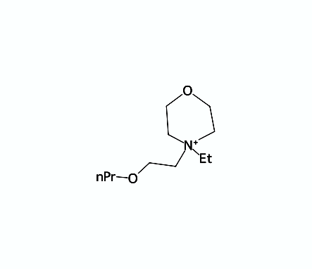 CCCOCC[N+]1(CC)CCOCC1